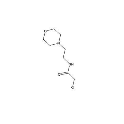 O=C(CCl)NCCN1CCOCC1